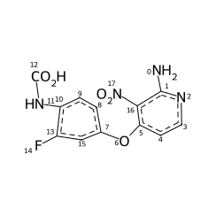 Nc1nccc(Oc2ccc(NC(=O)O)c(F)c2)c1[N+](=O)[O-]